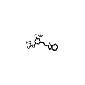 COc1cc(/C=C/c2cc3ccccc3s2)cc(O[PH](=O)O)c1